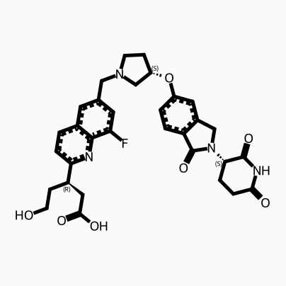 O=C(O)C[C@@H](CCO)c1ccc2cc(CN3CC[C@H](Oc4ccc5c(c4)CN([C@H]4CCC(=O)NC4=O)C5=O)C3)cc(F)c2n1